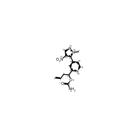 C=CCC(OC(N)=O)c1cc(-c2c([N+](=O)[O-])cnn2C)ccn1